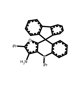 CC(C)B1c2ccccc2C2(c3ccccc3-c3ccccc32)c2oc(C(C)C)c(N)c21